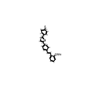 COc1ccccc1C=Cc1ccc(-c2csc(-c3ccc(F)cc3)n2)cc1